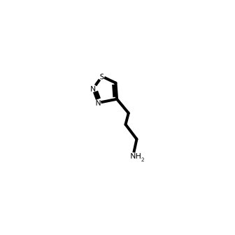 NCCCc1csnn1